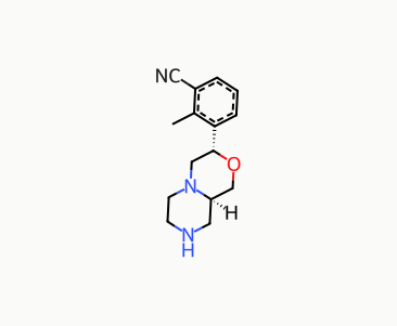 Cc1c(C#N)cccc1[C@H]1CN2CCNC[C@@H]2CO1